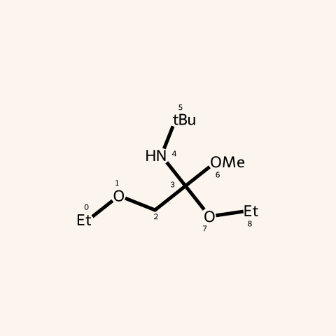 CCOCC(NC(C)(C)C)(OC)OCC